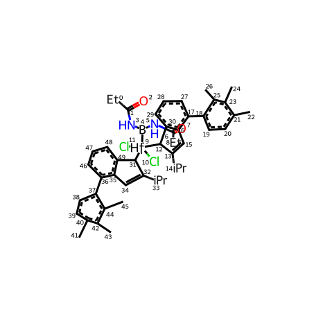 CCC(=O)N[B](NC(=O)CC)[Hf]([Cl])([Cl])([CH]1C(C(C)C)=Cc2c(-c3ccc(C)c(C)c3C)cccc21)[CH]1C(C(C)C)=Cc2c(-c3ccc(C)c(C)c3C)cccc21